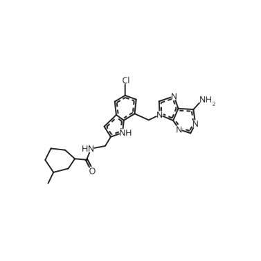 CC1CCCC(C(=O)NCc2cc3cc(Cl)cc(Cn4cnc5c(N)ncnc54)c3[nH]2)C1